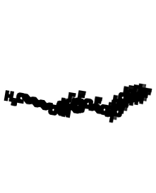 CCCCCCCCOc1cnc(-c2ccc(OC[C@@H](F)COCC(F)(F)OC(F)(F)C(F)(F)OC(F)(F)C(F)(F)C(F)(F)C(F)(F)F)c(F)c2F)nc1